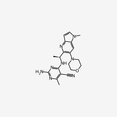 Cc1nc(N)nc(N[C@@H](C)c2nc3ccn(C)c3cc2N2CCOCC2)c1C#N